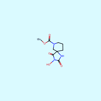 CC(C)(C)OC(=O)N1CCCC2(C1)NC(=O)N(O)C2=O